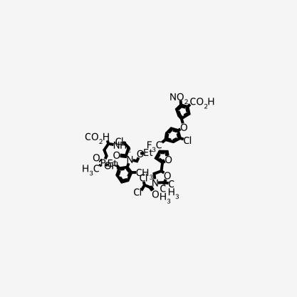 CC1(C)OC(c2ccco2)CN1C(=O)C(Cl)Cl.CCOCN(C(=O)CCl)c1c(C)cccc1CC.CP(=O)(O)CCC(N)C(=O)O.O=C(O)c1cc(Oc2ccc(C(F)(F)F)cc2Cl)ccc1[N+](=O)[O-]